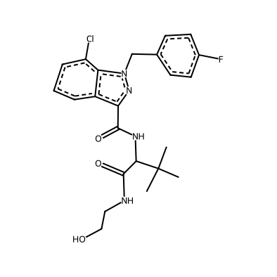 CC(C)(C)C(NC(=O)c1nn(Cc2ccc(F)cc2)c2c(Cl)cccc12)C(=O)NCCO